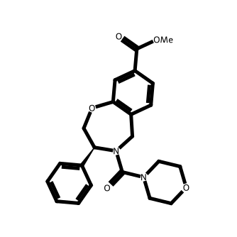 COC(=O)c1ccc2c(c1)OC[C@H](c1ccccc1)N(C(=O)N1CCOCC1)C2